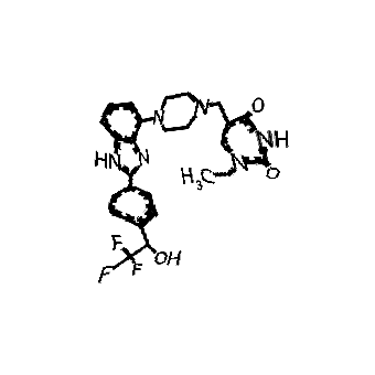 CCn1cc(CN2CCN(c3cccc4[nH]c(-c5ccc(C(O)C(F)(F)F)cc5)nc34)CC2)c(=O)[nH]c1=O